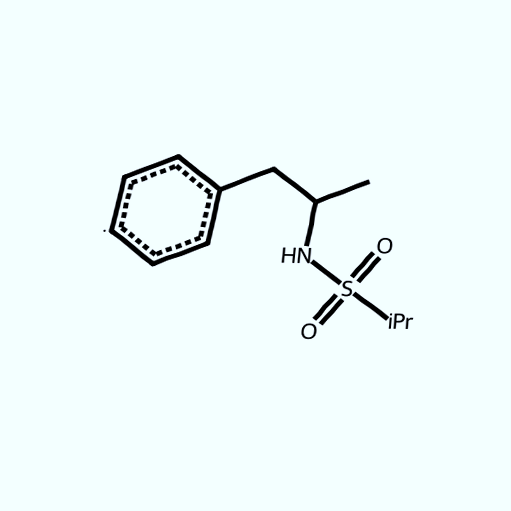 CC(Cc1cc[c]cc1)NS(=O)(=O)C(C)C